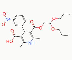 CCCOC(COC(=O)C1=C(C)NC(C)=C(C(=O)O)C1c1cccc([N+](=O)[O-])c1)OCCC